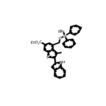 CCOC(=O)c1cc(CO[Si](c2ccccc2)(c2ccccc2)C(C)(C)C)c2c(C)c(-c3cc4ccccc4[nH]3)sc2c1